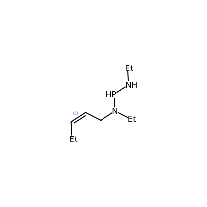 CC/C=C\CN(CC)PNCC